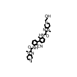 Cc1c(NC(=O)c2nc3c(n2C)CCN(CCO)C3)cccc1-c1cccc(NC(=O)c2nc3c(n2C)CCN(C)C3)c1C#N